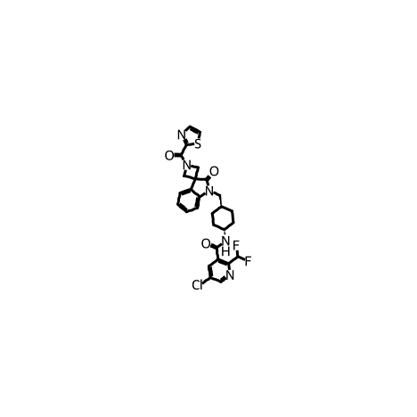 O=C(N[C@H]1CC[C@H](CN2C(=O)C3(CN(C(=O)c4nccs4)C3)c3ccccc32)CC1)c1cc(Cl)cnc1C(F)F